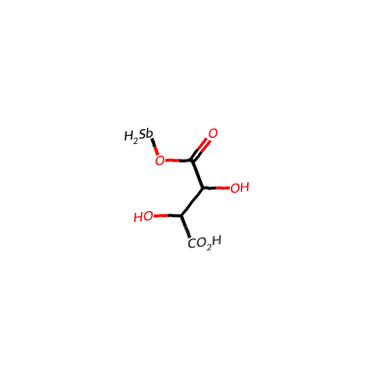 O=C(O)C(O)C(O)C(=O)[O][SbH2]